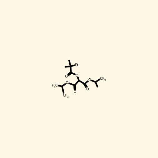 CCC(C)(C)C(=O)OC(C(=O)OC(C)C(F)(F)F)C(=O)OC(C(F)(F)F)C(F)(F)F